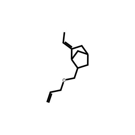 C=CCOCC1CC2CC(=CC)C1C2